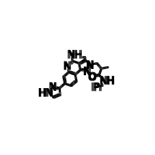 CC(C)NC(=O)C(C)Cn1cc2c(N)nc3cc(-c4cc[nH]n4)ccc3c2n1